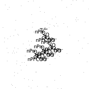 CCCOCC(=O)C(OCCC)(OCCC)C(=O)[O-].CCCOCC(=O)C(OCCC)(OCCC)C(=O)[O-].CCCOCC(=O)C(OCCC)(OCCC)C(=O)[O-].CCCOCC(=O)C(OCCC)(OCCC)C(=O)[O-].[Ti+4]